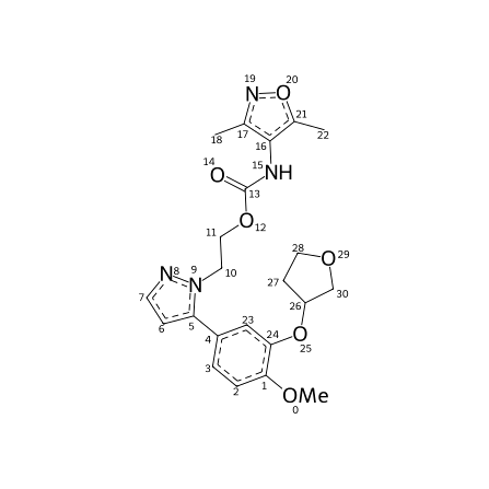 COc1ccc(-c2ccnn2CCOC(=O)Nc2c(C)noc2C)cc1OC1CCOC1